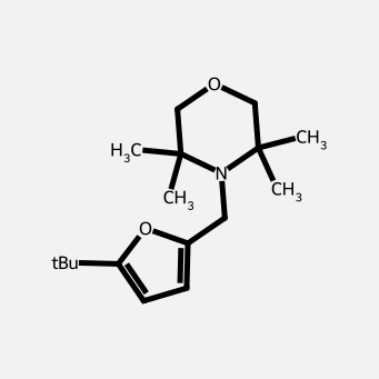 CC(C)(C)c1ccc(CN2C(C)(C)COCC2(C)C)o1